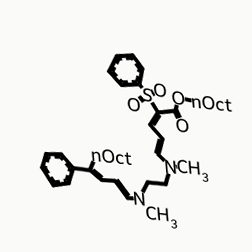 CCCCCCCCOC(=O)/C(=C\C=C\N(C)CCN(C)/C=C/C=C(\CCCCCCCC)c1ccccc1)S(=O)(=O)c1ccccc1